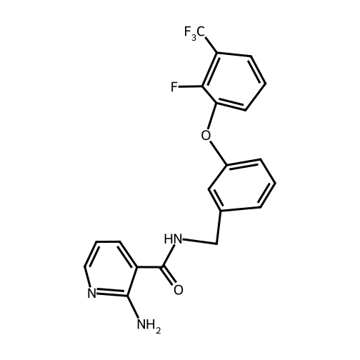 Nc1ncccc1C(=O)NCc1cccc(Oc2cccc(C(F)(F)F)c2F)c1